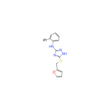 CC(C)c1ccccc1Nc1n[nH]c(SCc2ccco2)n1